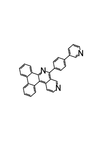 c1cncc(-c2ccc(-c3nc4c5ccccc5c5ccccc5c4c4ccncc34)cc2)c1